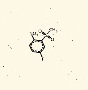 CS(=O)(=O)c1cc(F)ccc1[N+](=O)[O-]